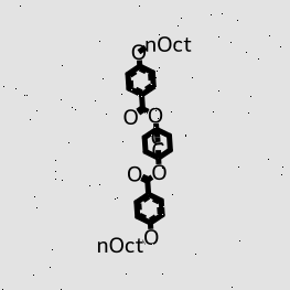 CCCCCCCCOc1ccc(C(=O)OC23CCC(OC(=O)c4ccc(OCCCCCCCC)cc4)(CC2)CC3)cc1